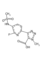 Cn1nnc(-c2ccc(NS(C)(=O)=O)c(F)n2)c1C(=O)O